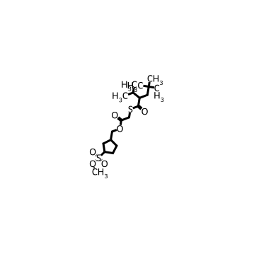 COS(=O)(=O)C1CCC(COC(=O)CSC(=O)C(CC(C)(C)C)C(C)C)C1